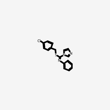 Clc1ccc(CSC(=Nc2ccccc2)n2ccnc2)cc1